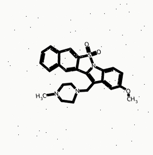 COc1ccc2c(c1)c(CN1CCN(C)CC1)c1n2S(=O)(=O)c2cc3ccccc3cc2-1